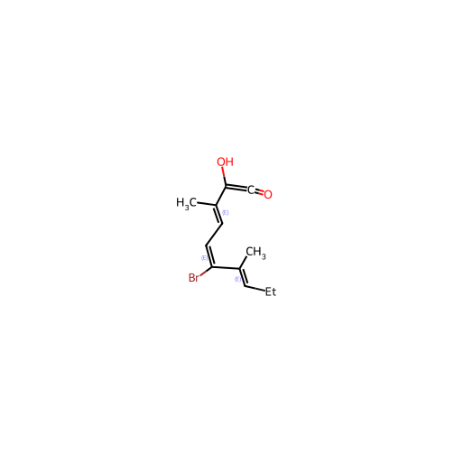 CC/C=C(C)/C(Br)=C\C=C(/C)C(O)=C=O